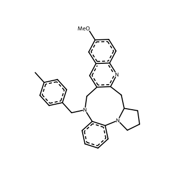 COc1ccc2nc3c(cc2c1)CN(Cc1ccc(C)cc1)c1ccccc1N1CCCC1C3